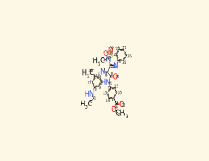 CCNc1ccc(/N=C(\C(=O)Nc2ccc(C(=O)OC)cc2)C2=Nc3ccccc3S(=O)(=O)N2C)c(C)c1